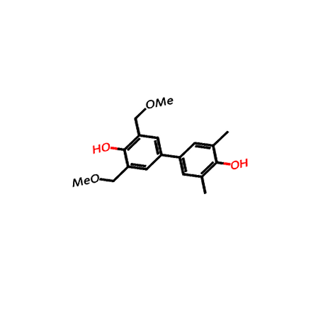 COCc1cc(-c2cc(C)c(O)c(C)c2)cc(COC)c1O